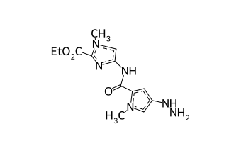 CCOC(=O)c1nc(NC(=O)c2cc(NN)cn2C)cn1C